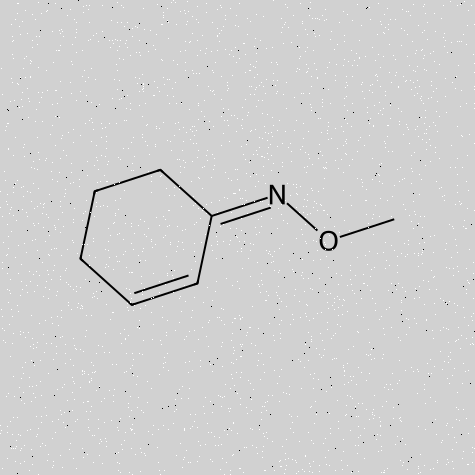 CON=C1C=CCCC1